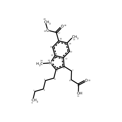 CCCCCc1c(CCC(=O)O)c2cc(C)c(C(=O)OC)cc2n1C